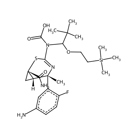 CC(C)(C)C(OCC[Si](C)(C)C)N(C(=O)O)C1=N[C@](C)(c2cc(N)ccc2F)[C@@H]2C[C@]2(C(N)=O)S1